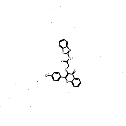 O=C(COc1c(-c2ccc(Cl)cc2)oc2ccccc2c1=O)Nc1nc2ccccc2s1